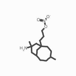 CC1CCC2CC(C)(N)CC(CCCO[N+](=O)[O-])(CC1)C2